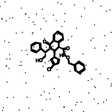 O=C(NOCc1ccccc1)[C@@H]1c2ccccc2C(=O)N([C@H](CO)c2ccccc2)C1C1C=CC(Cl)=C1